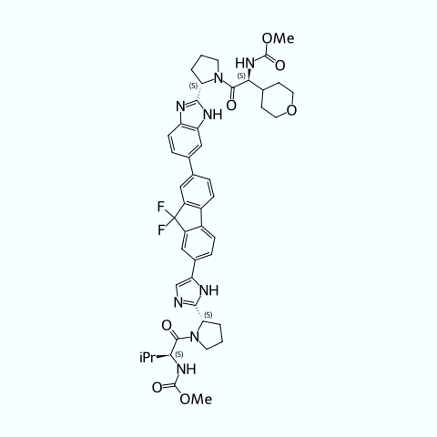 COC(=O)N[C@H](C(=O)N1CCC[C@H]1c1ncc(-c2ccc3c(c2)C(F)(F)c2cc(-c4ccc5nc([C@@H]6CCCN6C(=O)[C@@H](NC(=O)OC)C6CCOCC6)[nH]c5c4)ccc2-3)[nH]1)C(C)C